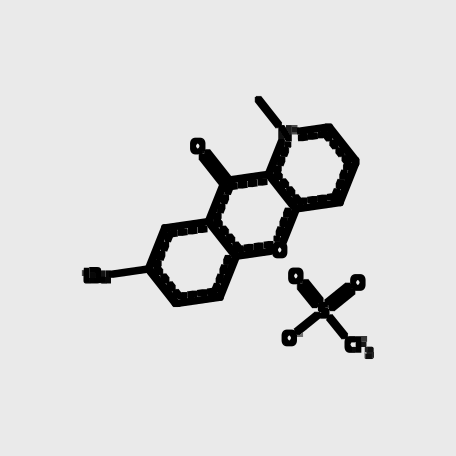 C[n+]1cccc2oc3ccc(C(C)(C)C)cc3c(=O)c21.O=S(=O)([O-])C(F)(F)F